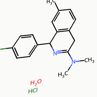 Cc1ccc2c(c1)C(c1ccc(Cl)cc1)N=C(N(C)C)C2.Cl.O